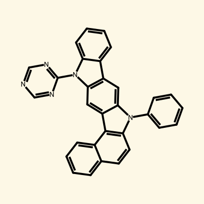 c1ccc(-n2c3cc4c5ccccc5n(-c5ncncn5)c4cc3c3c4ccccc4ccc32)cc1